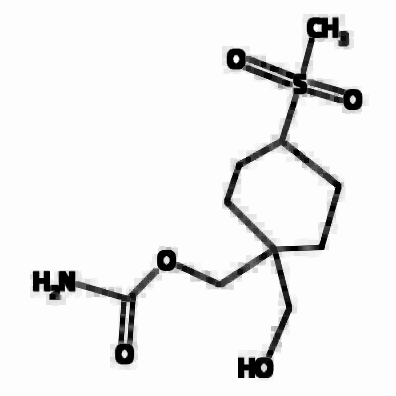 CS(=O)(=O)C1CCC(CO)(COC(N)=O)CC1